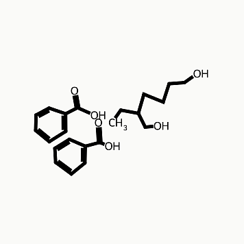 CCC(CO)CCCCO.O=C(O)c1ccccc1.O=C(O)c1ccccc1